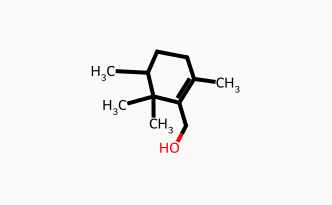 CC1=C(CO)C(C)(C)C(C)CC1